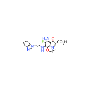 CC1(C)COc2c(NCCCn3cnc4c3CCC=C4)c(F)c(N)c3c(=O)c(C(=O)O)cn1c23